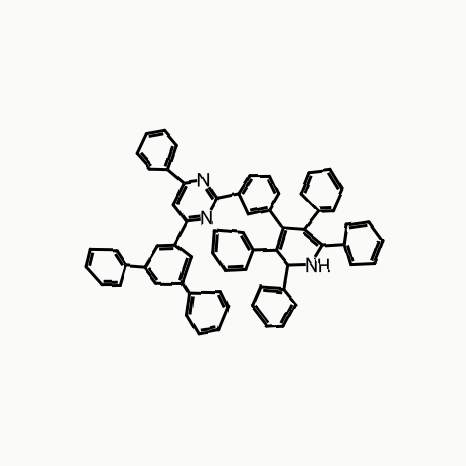 c1ccc(C2=C(c3ccccc3)C(c3cccc(-c4nc(-c5ccccc5)cc(-c5cc(-c6ccccc6)cc(-c6ccccc6)c5)n4)c3)=C(c3ccccc3)C(c3ccccc3)N2)cc1